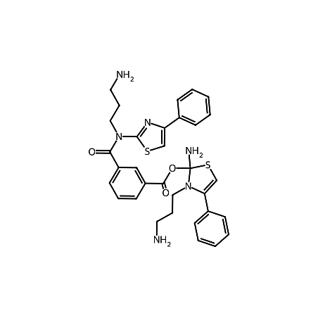 NCCCN(C(=O)c1cccc(C(=O)OC2(N)SC=C(c3ccccc3)N2CCCN)c1)c1nc(-c2ccccc2)cs1